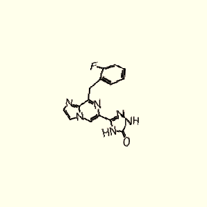 O=c1[nH]nc(-c2cn3ccnc3c(Cc3ccccc3F)n2)[nH]1